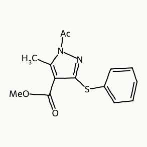 COC(=O)c1c(Sc2ccccc2)nn(C(C)=O)c1C